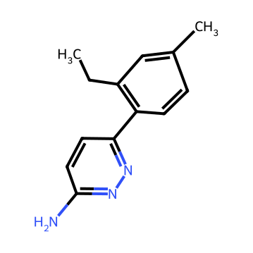 CCc1cc(C)ccc1-c1ccc(N)nn1